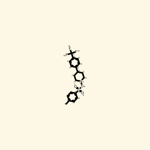 Cc1ccc(S(=O)(=O)ON2CCC(c3ccc(C(F)(F)F)cc3)CC2)cc1